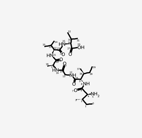 CC[C@H](C)[C@H](N)C(=O)N[C@H](C(=O)NCC(=O)N[C@@H](C)C(=O)N[C@H](C(=O)N[C@H](C(=O)O)C(C)C)C(C)C)[C@@H](C)CC